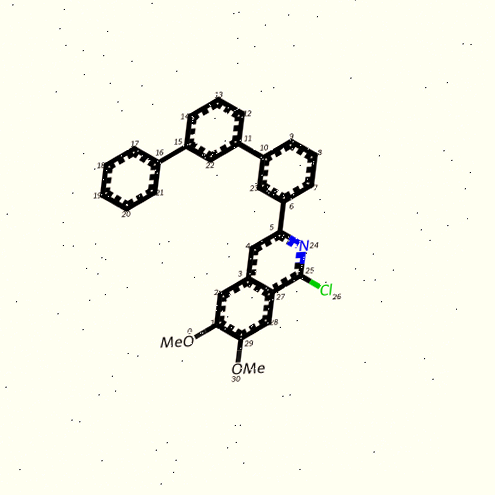 COc1cc2cc(-c3cccc(-c4cccc(-c5ccccc5)c4)c3)nc(Cl)c2cc1OC